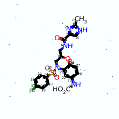 Cc1nc(C(=O)NCC2CN(S(=O)(=O)c3ccc(F)cc3)c3cc(NC(=O)O)ccc3O2)c[nH]1